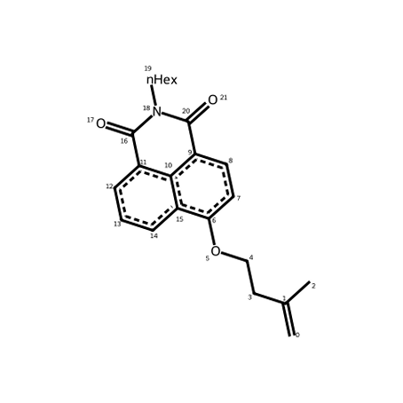 C=C(C)CCOc1ccc2c3c(cccc13)C(=O)N(CCCCCC)C2=O